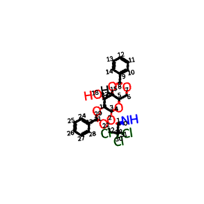 N=C(O[C@@H]1OC2COC(c3ccccc3)O[C@H]2C(O)[C@@H]1OC(=O)c1ccccc1)C(Cl)(Cl)Cl